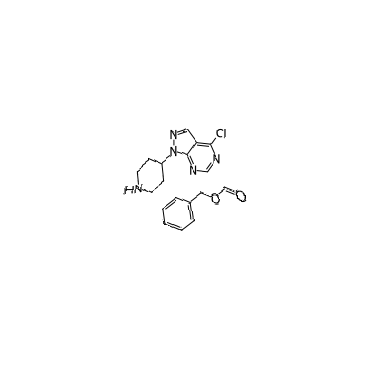 Clc1ncnc2c1cnn2C1CCNCC1.O=COCc1ccccc1